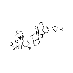 COC1CN(c2cc(Cl)c(C(=O)N3COc4c(cccc4-c4cc(N5C6CCC5COC6)c(C(=O)N[S+](C)[O-])cc4F)C3)c(Cl)c2)C1